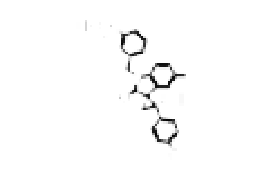 C[C@]1(c2ccc(Cl)cc2)C[C@]12C(=O)N(Cc1cccc(C(=O)O)c1)c1ccc(F)cc12